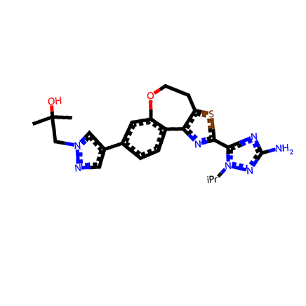 CC(C)n1nc(N)nc1-c1nc2c(s1)CCOc1cc(-c3cnn(CC(C)(C)O)c3)ccc1-2